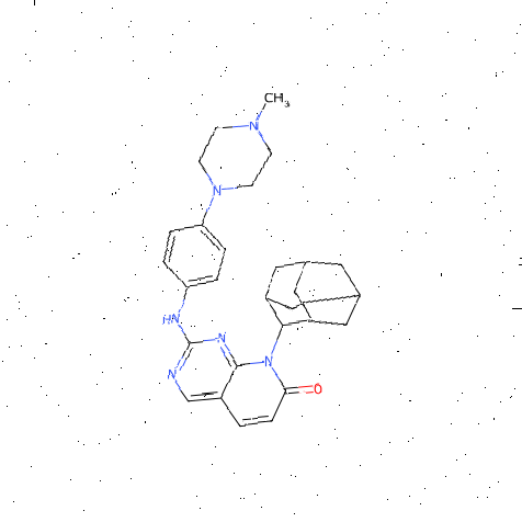 CN1CCN(c2ccc(Nc3ncc4ccc(=O)n(C5C6CC7CC(C6)CC5C7)c4n3)cc2)CC1